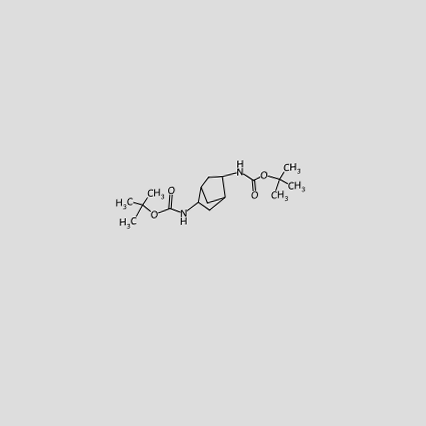 CC(C)(C)OC(=O)NC1CC2CC1CC2NC(=O)OC(C)(C)C